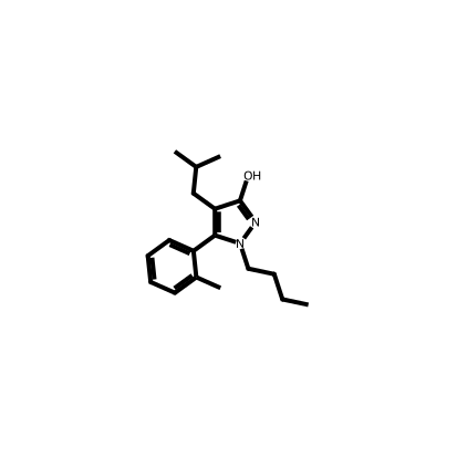 CCCCn1nc(O)c(CC(C)C)c1-c1ccccc1C